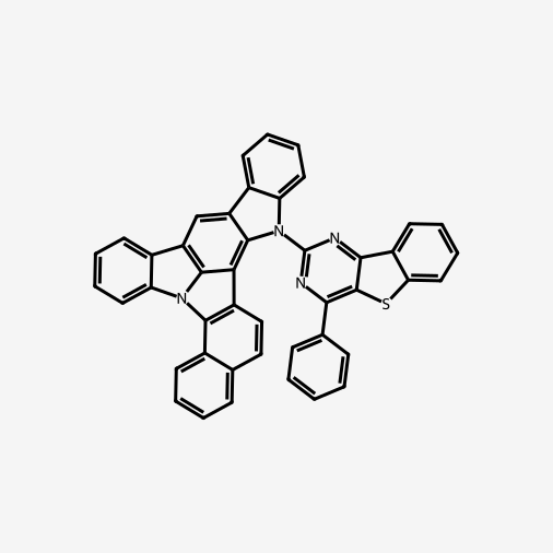 c1ccc(-c2nc(-n3c4ccccc4c4cc5c6ccccc6n6c7c8ccccc8ccc7c(c43)c56)nc3c2sc2ccccc23)cc1